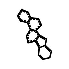 C1=CC2=c3ccc4c(ccc5ccccc54)c3=CC2=CC1